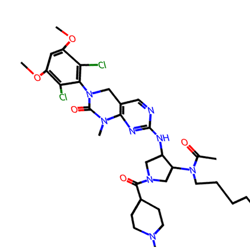 CCCCCN(C(C)=O)C1CN(C(=O)C2CCN(C)CC2)CC1Nc1ncc2c(n1)N(C)C(=O)N(c1c(Cl)c(OC)cc(OC)c1Cl)C2